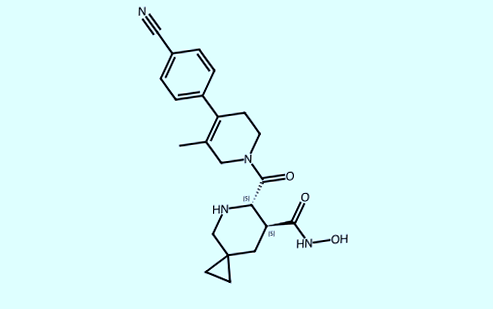 CC1=C(c2ccc(C#N)cc2)CCN(C(=O)[C@H]2NCC3(CC3)C[C@@H]2C(=O)NO)C1